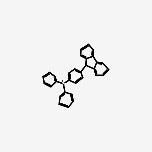 c1ccc([SiH](c2ccccc2)c2ccc(C3c4ccccc4-c4ccccc43)cc2)cc1